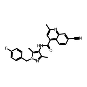 Cc1cc(C(=O)Nc2c(C)nn(Cc3ccc(F)cc3)c2C)c2ccc(C#N)cc2n1